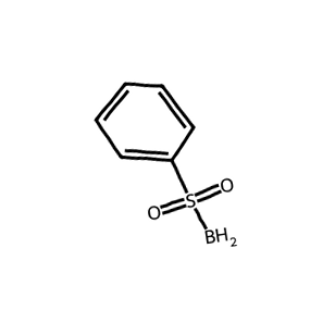 BS(=O)(=O)c1ccccc1